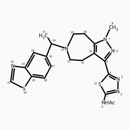 CC(=O)Nc1nnc(-c2nn(C)c3c2CCN(C(C)c2ccc4scnc4c2)CC3)s1